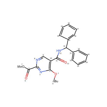 CCCCOc1nc(C(=O)OC)ncc1C(=O)NC(c1ccccc1)c1ccccc1